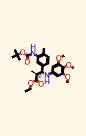 CCOC(=O)[C@@H](C)[C@@H](Nc1cc(OC)c(OC)c(OC)c1)c1ccc(C)c(NC(=O)OC(C)(C)C)c1